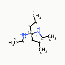 CCC[Si](CCC)(NCC)NCC